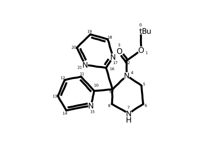 CC(C)(C)OC(=O)N1CCNCC1(c1ccccn1)c1ncccn1